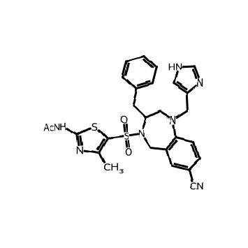 CC(=O)Nc1nc(C)c(S(=O)(=O)N2Cc3cc(C#N)ccc3N(Cc3c[nH]cn3)CC2Cc2ccccc2)s1